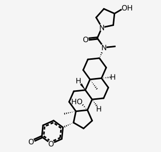 CN(C(=O)N1CCC(O)C1)[C@H]1CC[C@@]2(C)[C@H](CC[C@@H]3[C@@H]2CC[C@]2(C)[C@@H](c4ccc(=O)oc4)CC[C@]32O)C1